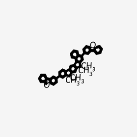 CC1(C)c2cc(-c3ccc4oc5ccccc5c4c3)ccc2-c2cc3c(cc21)C(C)(C)c1cc(-c2ccc4oc5ccccc5c4c2)c2ccccc2c1-3